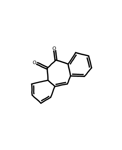 O=C1C(=O)C2C=CC=CC2=Cc2ccccc21